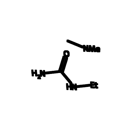 CCNC(N)=O.CNC